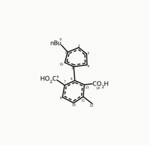 CCCCc1cccc(-c2c(C(=O)O)ccc(C)c2C(=O)O)c1